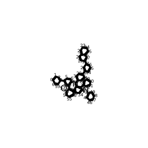 c1ccc(-c2ccc(N(c3ccc(-c4cccc(-c5ccc6ccccc6c5)c4)cc3)c3cccc4c3c3ccccc3n4-c3ccccc3)c3c2oc2ccccc23)cc1